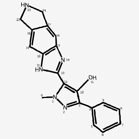 Cn1nc(-c2ccccc2)c(O)c1-c1nc2cc3c(cc2[nH]1)CNC3